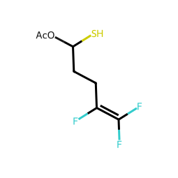 CC(=O)OC(S)CCC(F)=C(F)F